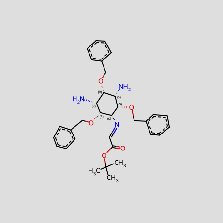 CC(C)(C)OC(=O)C=N[C@@H]1[C@H](OCc2ccccc2)[C@H](N)[C@H](OCc2ccccc2)[C@H](N)[C@@H]1OCc1ccccc1